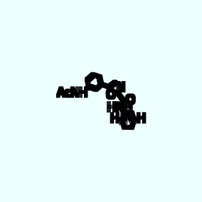 CC(=O)Nc1cccc(-c2cnc(C(=O)N[C@@H]3C[C@H]4CC[C@@H]3N4)o2)c1